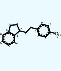 Oc1ccc(CCC2CCc3c[c]ccc32)cc1